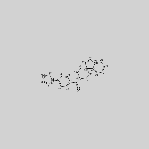 O=C(c1ccc(-n2ccnc2)cc1)N1CCC2(C=Cc3ccccc32)CC1